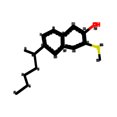 CCCCC(C)c1ccc2cc(O)c(SC)cc2c1